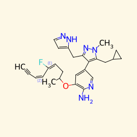 C#C/C=C\C(F)=C/CC(C)Oc1cc(-c2c(Cc3ccn[nH]3)nn(C)c2CC2CC2)cnc1N